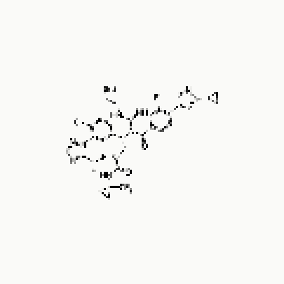 CC(C)(C)CCNC(=N)N(C(=O)c1ccc(-c2cnn(C3CC3)c2)c(F)c1)[C@H](COC(=O)NC1(C(F)(F)F)CC1)c1ccc(Cl)c(-n2ncnc2C(F)F)c1